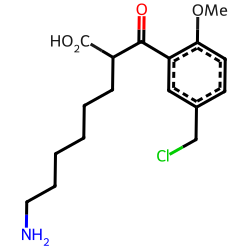 COc1ccc(CCl)cc1C(=O)C(CCCCCCN)C(=O)O